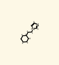 [c]1cn(CCC2CCCCC2)cn1